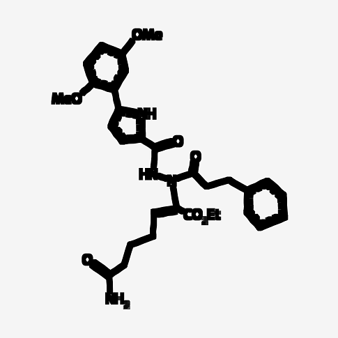 CCOC(=O)C(=CCCCC(N)=O)N(NC(=O)c1ccc(-c2cc(OC)ccc2OC)[nH]1)C(=O)CCc1ccccc1